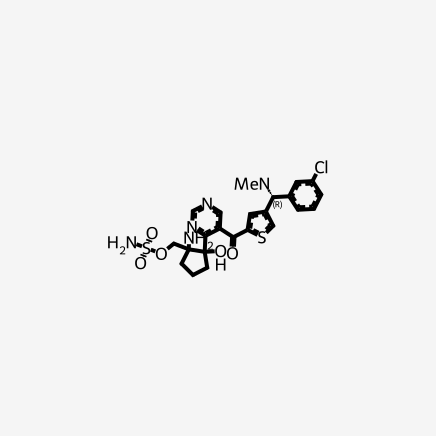 CN[C@H](c1cccc(Cl)c1)c1csc(C(=O)c2cncnc2C2(O)CCCC2(N)COS(N)(=O)=O)c1